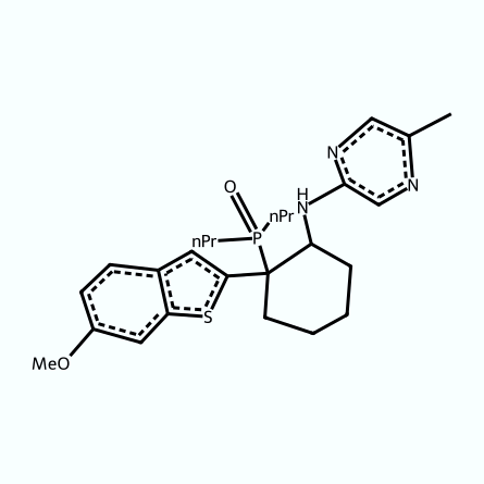 CCCP(=O)(CCC)C1(c2cc3ccc(OC)cc3s2)CCCCC1Nc1cnc(C)cn1